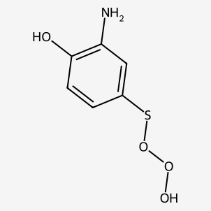 Nc1cc(SOOO)ccc1O